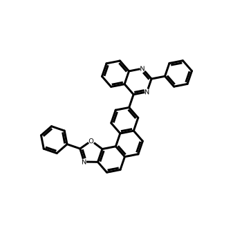 c1ccc(-c2nc(-c3ccc4c(ccc5ccc6nc(-c7ccccc7)oc6c54)c3)c3ccccc3n2)cc1